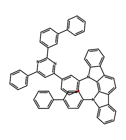 c1ccc(-c2ccc(-n3c4ccccc4c4ccc5c6ccccc6n(-c6cccc(-c7cc(-c8ccccc8)nc(-c8cccc(-c9ccccc9)c8)n7)c6)c5c43)cc2)cc1